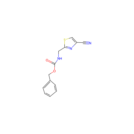 N#Cc1csc(CNC(=O)OCc2ccccc2)n1